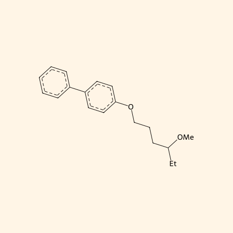 CCC(CCCOc1ccc(-c2ccccc2)cc1)OC